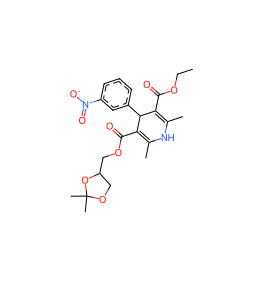 CCOC(=O)C1=C(C)NC(C)=C(C(=O)OCC2COC(C)(C)O2)C1c1cccc([N+](=O)[O-])c1